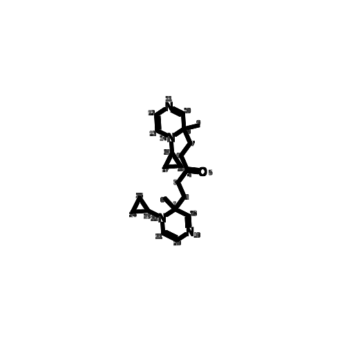 CC1(CCC(=O)CCC2(C)C=NC=CN2C2CC2)C=NC=CN1C1CC1